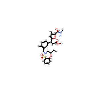 CC[C@@H]1CN(Cc2cc(C(CC(=O)OC)c3cc(C)c(C(=O)NC)o3)ccc2C)S(=O)(=O)c2ccccc2O1